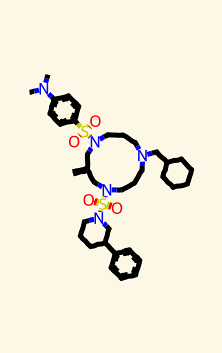 C=C1CN(S(=O)(=O)c2ccc(N(C)C)cc2)CCCN(CC2CCCCC2)CCCN(S(=O)(=O)N2CCCC(c3ccccc3)C2)C1